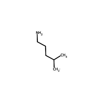 [CH2]C(C)CCCN